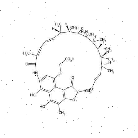 C/C1=C/C=C/[C@H](C)[C@H](O)[C@@H](C)[C@@H](O)[C@@H](C)[C@H](C)[C@H](C)[C@@H](C)/C=C/O[C@@]2(C)Oc3c(C)c(O)c4c(O)c(cc(OCC(=O)O)c4c3C2=O)NC1=O